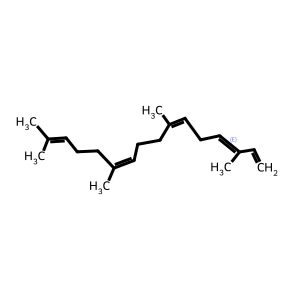 C=C/C(C)=C/CC=C(C)CCC=C(C)CCC=C(C)C